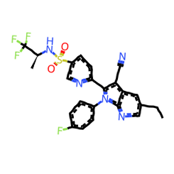 CCc1cnc2c(c1)c(C#N)c(-c1ccc(S(=O)(=O)N[C@@H](C)C(F)(F)F)cn1)n2-c1ccc(F)cc1